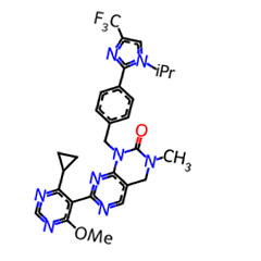 COc1ncnc(C2CC2)c1-c1ncc2c(n1)N(Cc1ccc(-c3nc(C(F)(F)F)cn3C(C)C)cc1)C(=O)N(C)C2